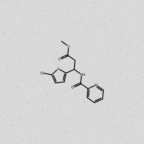 COC(=O)CC(NC(=O)c1ccccn1)c1ccc(Cl)s1